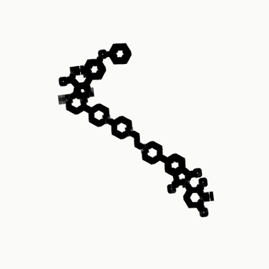 NC(=O)c1c(-c2ccc(Oc3ccccc3)cc2)nn2c1NCCC2C1CCN(C2CCN(CCN3CCC(c4ccc5c(c4)C(=O)N(C4CCC(=O)NC4=O)C5=O)CC3)CC2)CC1